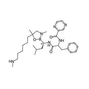 CNCCCCCCC1(C)CN(C)B([C@H](CC(C)C)NC(=O)C(Cc2ccccc2)NC(=O)c2cnccn2)O1